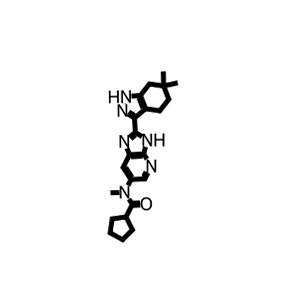 CN(C(=O)C1CCCC1)c1cnc2[nH]c(-c3n[nH]c4c3CCC(C)(C)C4)nc2c1